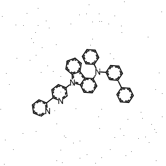 c1ccc(-c2cccc(N(c3ccccc3)c3cccc4c3c3ccccc3n4-c3ccc(-c4ccccn4)nc3)c2)cc1